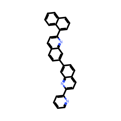 c1ccc(-c2ccc3ccc(-c4ccc5ccc(-c6cccc7ccccc67)nc5c4)cc3n2)nc1